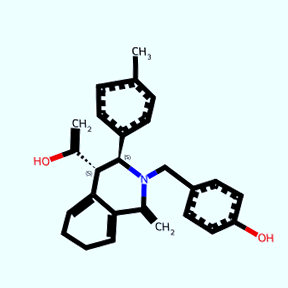 C=C(O)[C@H]1C2=CCCC=C2C(=C)N(Cc2ccc(O)cc2)[C@@H]1c1ccc(C)cc1